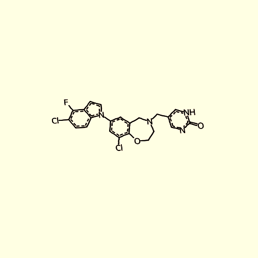 O=c1ncc(CN2CCOc3c(Cl)cc(-n4ccc5c(F)c(Cl)ccc54)cc3C2)c[nH]1